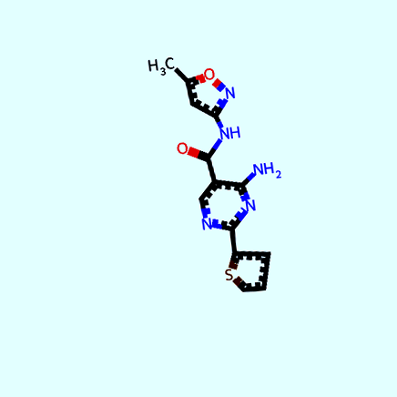 Cc1cc(NC(=O)c2cnc(-c3cccs3)nc2N)no1